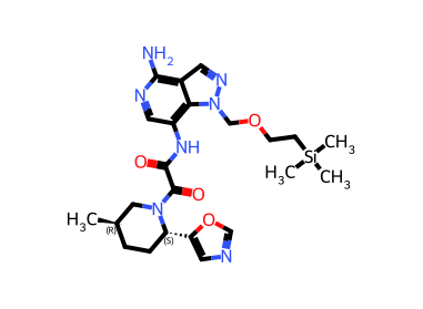 C[C@@H]1CC[C@@H](c2cnco2)N(C(=O)C(=O)Nc2cnc(N)c3cnn(COCC[Si](C)(C)C)c23)C1